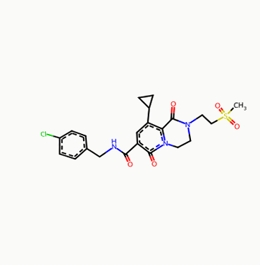 CS(=O)(=O)CCN1CCn2c(c(C3CC3)cc(C(=O)NCc3ccc(Cl)cc3)c2=O)C1=O